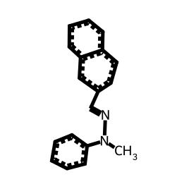 CN(/N=C/c1ccc2ccccc2c1)c1ccccc1